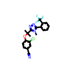 Cn1c(-c2ccccc2C(F)(F)F)nnc1C(C)(C)Oc1ccc(C#N)cc1Cl